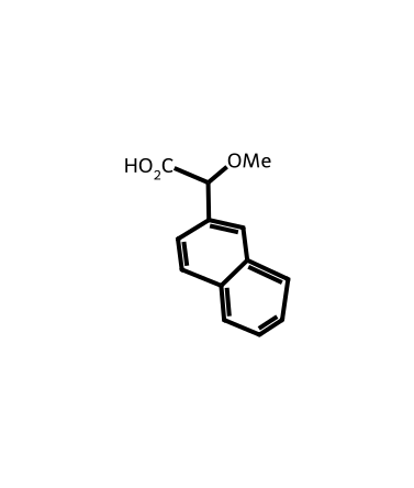 COC(C(=O)O)c1ccc2ccccc2c1